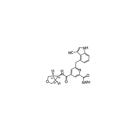 CNC(=O)c1cc(C(=O)N[C@H]2[C@@H]3COC[C@@H]32)cc(Cc2cccc3[nH]cc(C#N)c23)n1